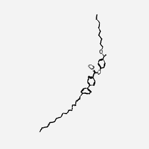 CCCCCCCCCCCCCCCc1ccc(-c2ccc(C(=O)Oc3ccc(C(C)OCCCCCCCCC)cc3)cc2)cc1